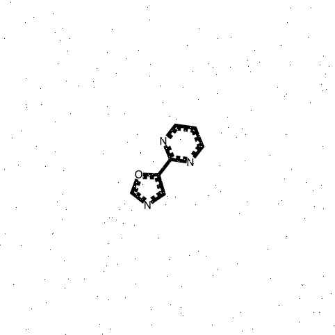 c1cnc(-c2cnco2)nc1